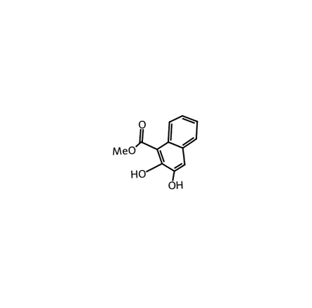 COC(=O)c1c(O)c(O)cc2ccccc12